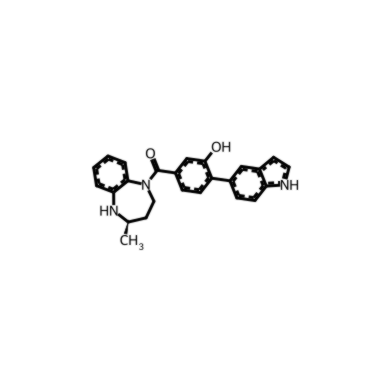 C[C@@H]1CCN(C(=O)c2ccc(-c3ccc4[nH]ccc4c3)c(O)c2)c2ccccc2N1